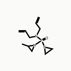 C=CCN(CC=C)P(=O)(N1CC1)N1CC1C